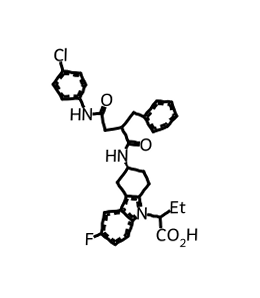 CCC(C(=O)O)n1c2c(c3cc(F)ccc31)C[C@@H](NC(=O)C(CC(=O)Nc1ccc(Cl)cc1)Cc1ccccc1)CC2